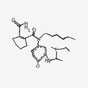 CCCCCCN(C(=O)C1=C(C(N)=O)CCCC1)c1ccc(Cl)c(NC(C)P(C)CC)c1